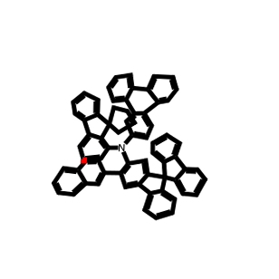 c1ccc2c(c1)-c1cccc(N(c3ccc4c5ccccc5c5ccccc5c4c3)c3cc4c(cc3-c3ccc5ccccc5c3)-c3ccccc3C43c4ccccc4-c4ccccc43)c1C21CCCC1